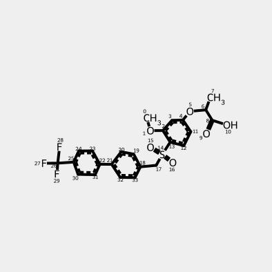 COc1cc(OC(C)C(=O)O)ccc1S(=O)(=O)Cc1ccc(-c2ccc(C(F)(F)F)cc2)cc1